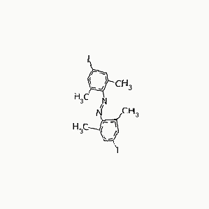 Cc1cc(I)cc(C)c1/N=N/c1c(C)cc(I)cc1C